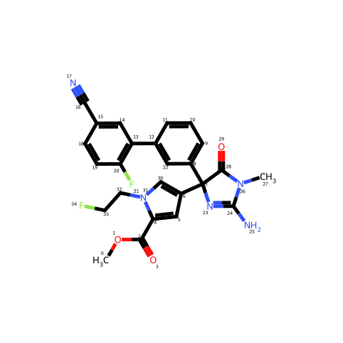 COC(=O)c1cc(C2(c3cccc(-c4cc(C#N)ccc4F)c3)N=C(N)N(C)C2=O)cn1CCF